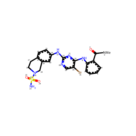 CNC(=O)c1ccccc1Nc1nc(Nc2ccc3c(c2)CN(S(N)(=O)=O)CC3)ncc1Br